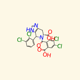 O=C(O)c1cc(Cl)c(Cl)cc1C(=O)N1C(c2cccc(Cl)c2Cl)c2[nH]cnc2C[C@H]1C(=O)O